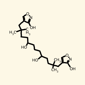 CC(C)(CCC(O)CCCC(O)CCC(C)(C)Cc1conc1O)Cc1conc1O